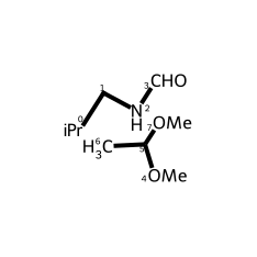 CC(C)CNC=O.COC(C)OC